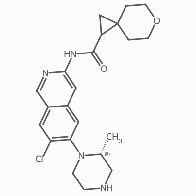 C[C@@H]1CNCCN1c1cc2cc(NC(=O)C3CC34CCOCC4)ncc2cc1Cl